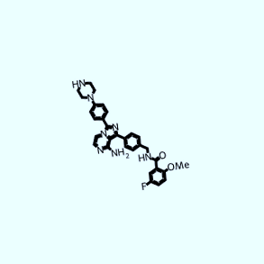 COc1ccc(F)cc1C(=O)NCc1ccc(-c2nc(-c3ccc(N4CCNCC4)cc3)n3ccnc(N)c23)cc1